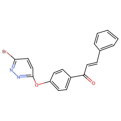 O=C(C=Cc1ccccc1)c1ccc(Oc2ccc(Br)nn2)cc1